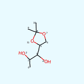 CC(O)C(O)C1COC(C)(C)O1